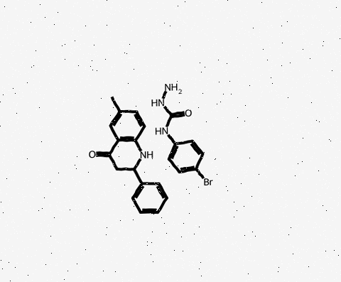 Cc1ccc2c(c1)C(=O)CC(c1ccccc1)N2.NNC(=O)Nc1ccc(Br)cc1